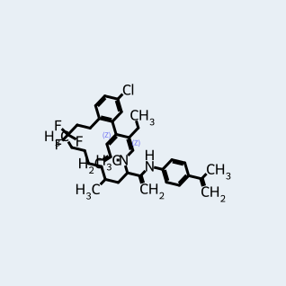 C=C/C=C(\C(=C/N(C)C(CC(C)CCCCC)C(=C)Nc1ccc(C(=C)C)cc1)CC)c1cc(Cl)ccc1CCC(F)(F)F